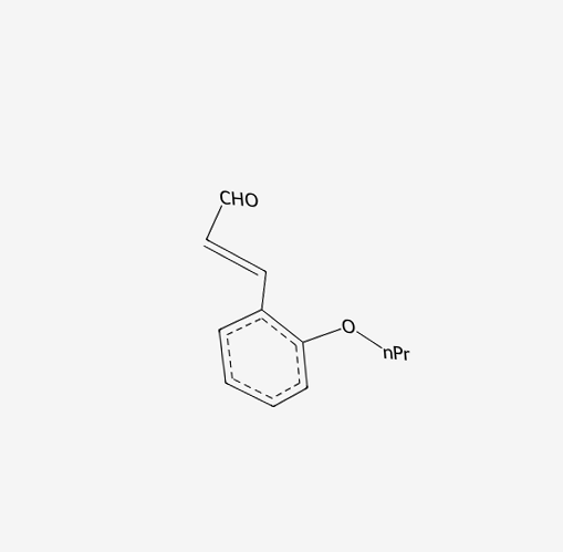 CCCOc1ccccc1C=CC=O